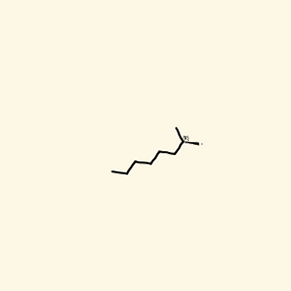 [CH2][C@H](C)CCCCCC